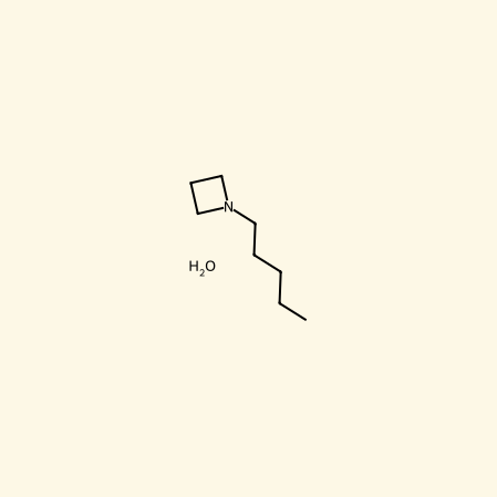 CCCCCN1CCC1.O